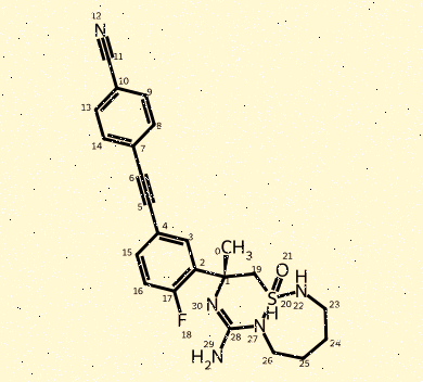 C[C@@]1(c2cc(C#Cc3ccc(C#N)cc3)ccc2F)C[SH]2(=O)NCCCCN2C(N)=N1